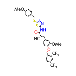 COc1ccc(CSc2nnc(NC(=O)C(C#N)=Cc3ccc(OCc4ccc(C(F)(F)F)cc4C(F)(F)F)c(OC)c3)s2)cc1